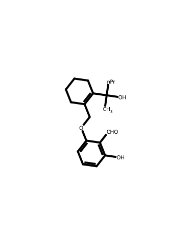 CCCC(C)(O)C1=C(COc2cccc(O)c2C=O)CCCC1